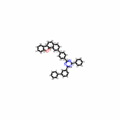 c1ccc(-c2cccc(-c3nc(-c4ccccc4)nc(-c4ccc(-c5ccc6ccc7c8ccccc8oc7c6c5)cc4)n3)c2)cc1